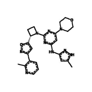 Cc1cc(Nc2cc(N3CCOCC3)nc(N3CC[C@H]3c3cc(-c4cccnc4C)no3)n2)n[nH]1